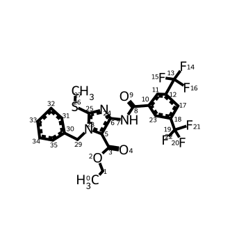 CCOC(=O)c1c(NC(=O)c2cc(C(F)(F)F)cc(C(F)(F)F)c2)nc(SC)n1Cc1ccccc1